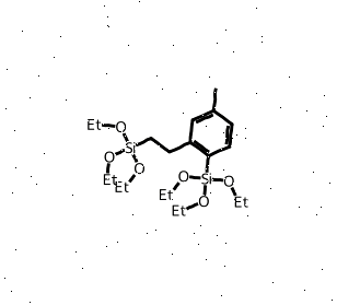 CCO[Si](CCc1cc(C)ccc1[Si](OCC)(OCC)OCC)(OCC)OCC